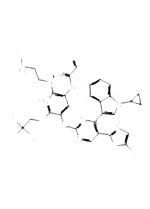 C=CC(=O)Nc1cc(Nc2ncc(-c3ncc(C)o3)c(-c3cn(C4CC4)c4ccccc34)n2)c(OCC(F)(F)F)nc1N(C)CCN(C)C